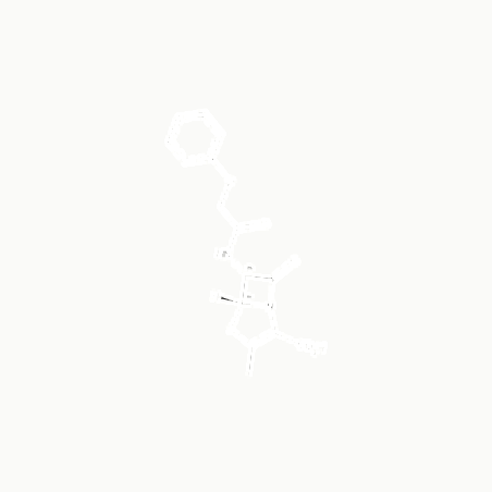 CC1=C(C(=O)O)N2C(=O)[C@@H](NC(=O)COc3ccccc3)[C@H]2S1